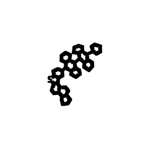 c1ccc(-c2c3ccccc3c(-c3c4ccccc4c(-c4ccc5sc6ccc7c8ccccc8ccc7c6c5c4)c4ccccc34)c3ccccc23)cc1